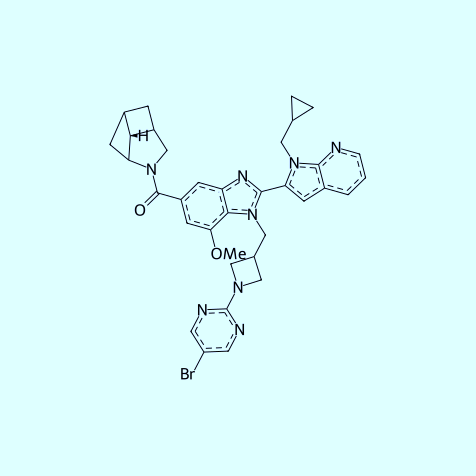 COc1cc(C(=O)N2CC3CC4CC2[C@H]43)cc2nc(-c3cc4cccnc4n3CC3CC3)n(CC3CN(c4ncc(Br)cn4)C3)c12